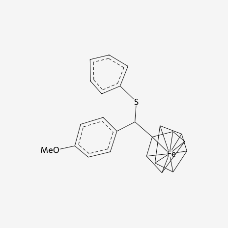 COc1ccc(C(Sc2ccccc2)[C]23[CH]4[CH]5[CH]6[CH]2[Fe]56432789[CH]3[CH]2[CH]7[CH]8[CH]39)cc1